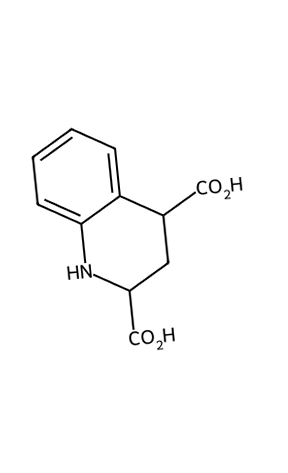 O=C(O)C1CC(C(=O)O)c2ccccc2N1